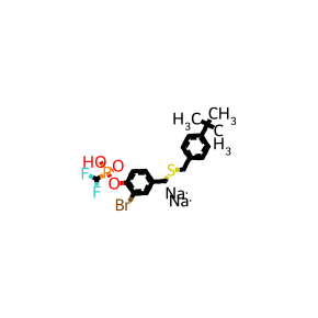 CC(C)(C)c1ccc(CSCc2ccc(OP(=O)(O)C(F)F)c(Br)c2)cc1.[Na].[Na]